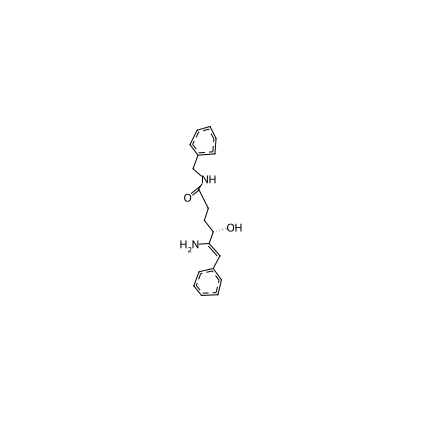 N/C(=C\c1ccccc1)[C@@H](O)CCC(=O)NCc1ccccc1